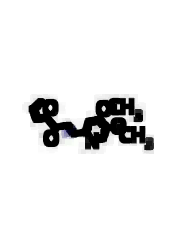 COc1cnc(/C=C/C(=O)c2ccco2)cc1OC